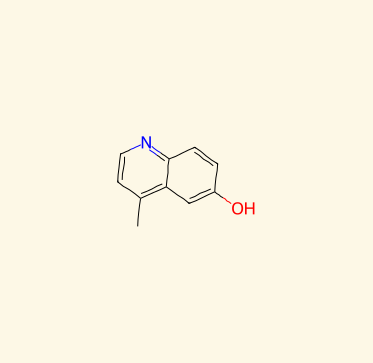 Cc1ccnc2ccc(O)cc12